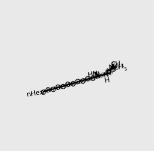 CCCCCCOCCOCCOCCOCCOCCOCCOCCOCCOCCOCCOCCN(/C=C/CCNC1CCC(c2nc(C)c(C)s2)CC1)N=N